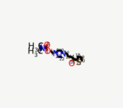 CN(C)C(=O)OCCN1CCN(CCCC(=O)c2cccs2)CC1